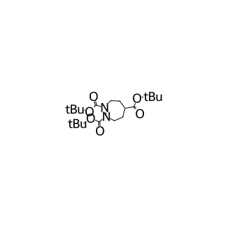 CC(C)(C)OC(=O)C1CCN(C(=O)OC(C)(C)C)N(C(=O)OC(C)(C)C)CC1